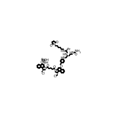 CC(C)[C@@H](CN[C@@H](CCCNC(N)=O)CNc1ccc(COc2cc3c(c4ccccc24)[C@H](CCl)CN3C(=O)CCCC(=O)N2C[C@@H](CCl)c3c2cc(OP(=O)(O)O)c2ccccc32)cc1)NCCCCCCN1C(=O)C=CC1=O